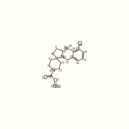 CC(C)(C)OC(=O)N1CCC2(CCCN2Cc2cccc(Cl)c2Br)CC1